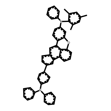 Cc1cc(C)c(N(c2ccccc2)c2ccc3c(c2)Oc2cccc4c2c-3cc2ccc(-c3ccc(N(c5ccccc5)c5ccccc5)cc3)cc24)c(C)c1